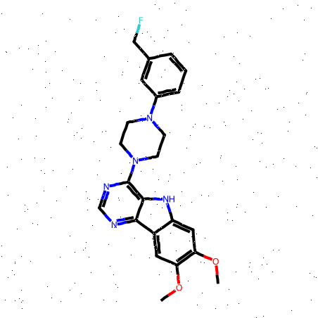 COc1cc2[nH]c3c(N4CCN(c5cccc(CF)c5)CC4)ncnc3c2cc1OC